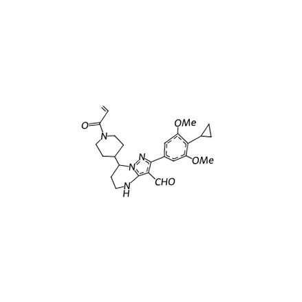 C=CC(=O)N1CCC(C2CCNc3c(C=O)c(-c4cc(OC)c(C5CC5)c(OC)c4)nn32)CC1